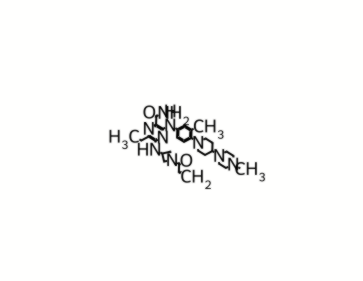 C=CC(=O)N1CC(Nc2nc(Nc3ccc(N4CCC(N5CCN(C)CC5)CC4)c(C)c3)c(C(N)=O)nc2CC)C1